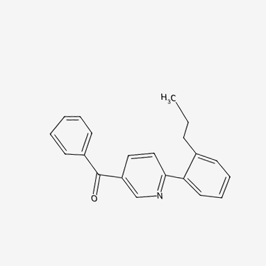 CCCc1ccccc1-c1ccc(C(=O)c2ccccc2)cn1